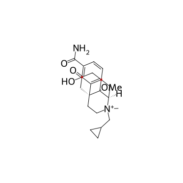 CO[C@@]12CCC(=O)C[C@@]13CC[N+](C)(CC1CC1)[C@@H]2Cc1ccc(C(N)=O)c(O)c13